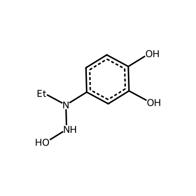 CCN(NO)c1ccc(O)c(O)c1